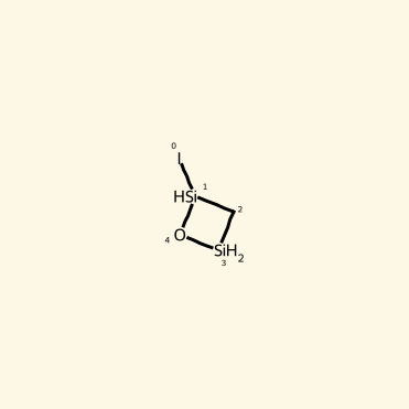 I[SiH]1C[SiH2]O1